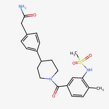 Cc1ccc(C(=O)N2CCC(c3ccc(CC(N)=O)cc3)CC2)cc1NS(C)(=O)=O